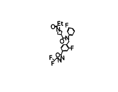 CCC(=O)N1CC(C(=O)N(Cc2ccc(-c3nnc(C(F)F)o3)cc2F)c2cccc(F)c2)C1